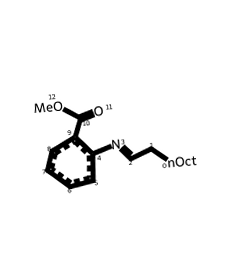 CCCCCCCCCC=Nc1ccccc1C(=O)OC